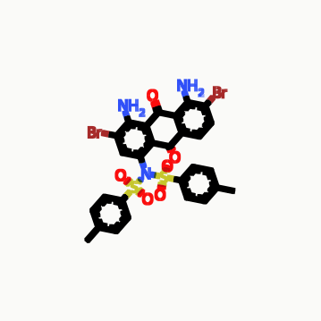 Cc1ccc(S(=O)(=O)N(c2cc(Br)c(N)c3c2C(=O)c2ccc(Br)c(N)c2C3=O)S(=O)(=O)c2ccc(C)cc2)cc1